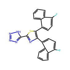 Fc1ccc(-c2nc(-c3nnn[nH]3)sc2-c2ccc(F)c3ccccc23)c2ccccc12